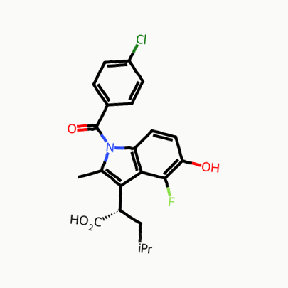 Cc1c([C@H](CC(C)C)C(=O)O)c2c(F)c(O)ccc2n1C(=O)c1ccc(Cl)cc1